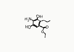 CCCc1c(C(=O)OCC)cc(O)c(N)c1O